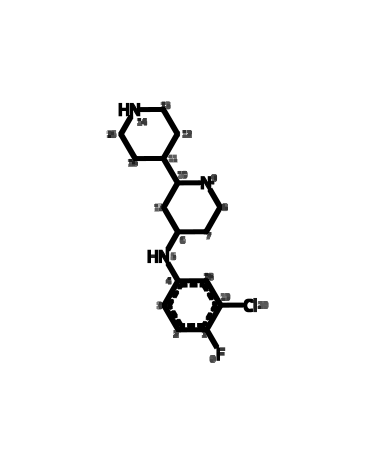 Fc1ccc(NC2CC[N]C(C3CCNCC3)C2)cc1Cl